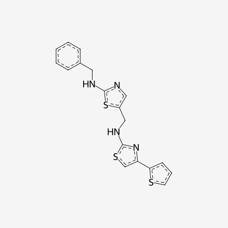 c1ccc(CNc2ncc(CNc3nc(-c4cccs4)cs3)s2)cc1